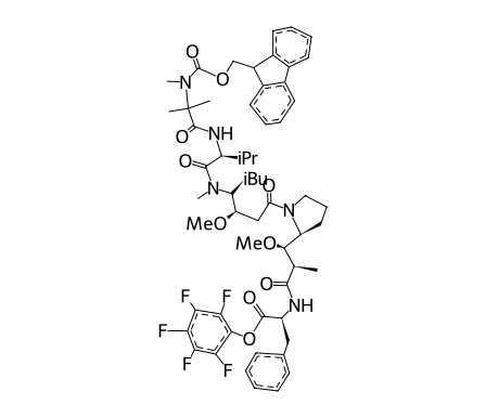 CC[C@H](C)C([C@@H](CC(=O)N1CCC[C@H]1[C@H](OC)[C@@H](C)C(=O)N[C@@H](Cc1ccccc1)C(=O)Oc1c(F)c(F)c(F)c(F)c1F)OC)N(C)C(=O)[C@@H](NC(=O)C(C)(C)N(C)C(=O)OCC1c2ccccc2-c2ccccc21)C(C)C